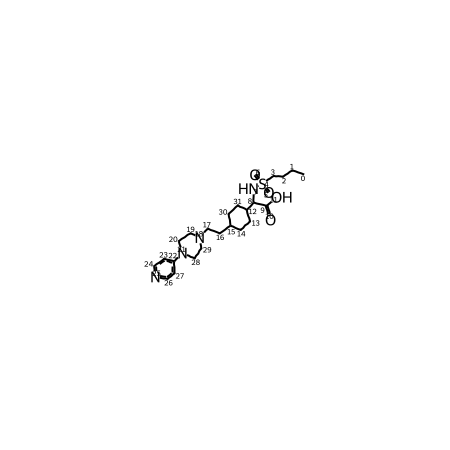 CCCCS(=O)(=O)NC(C(=O)O)C1CCC(CCN2CCN(c3ccncc3)CC2)CC1